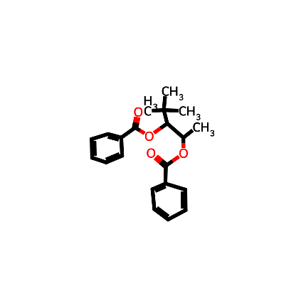 CC(OC(=O)c1ccccc1)C(OC(=O)c1ccccc1)C(C)(C)C